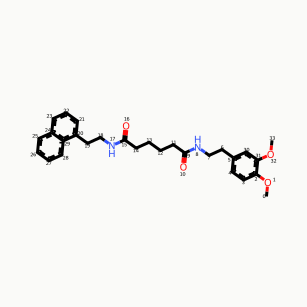 COc1ccc(CCNC(=O)CCCCC(=O)NCCc2cccc3ccccc23)cc1OC